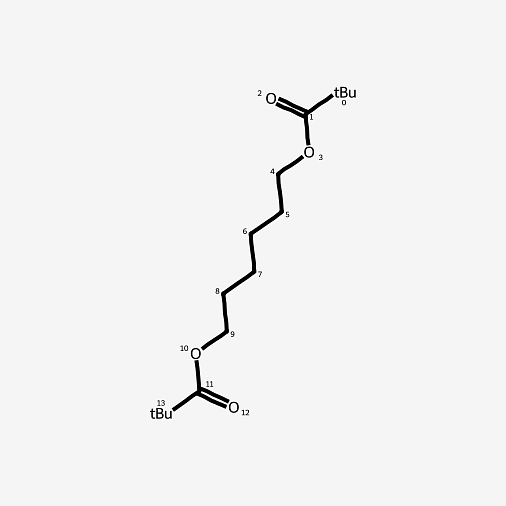 CC(C)(C)C(=O)OCCCCCCOC(=O)C(C)(C)C